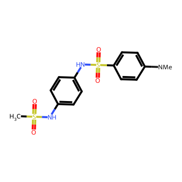 CNc1ccc(S(=O)(=O)Nc2ccc(NS(C)(=O)=O)cc2)cc1